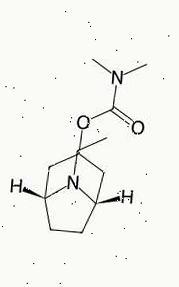 CCN1[C@@H]2CC[C@H]1CC(OC(=O)N(C)C)C2